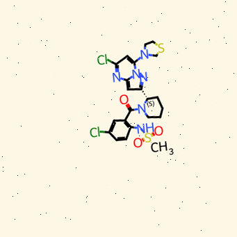 CS(=O)(=O)Nc1ccc(Cl)cc1C(=O)N1CCCC[C@H]1c1cc2nc(Cl)cc(N3CCSC3)n2n1